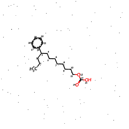 CCCC(CCCCCCCCOC(=O)O)c1ccccc1